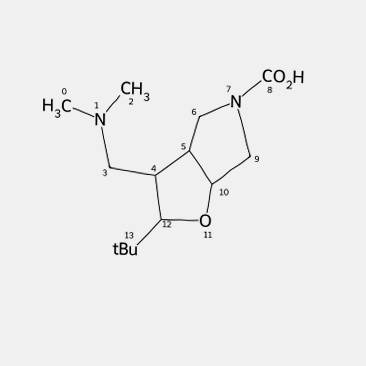 CN(C)CC1C2CN(C(=O)O)CC2OC1C(C)(C)C